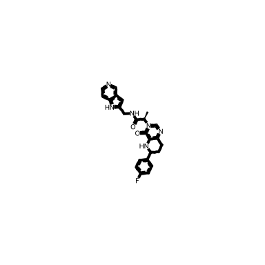 C[C@H](C(=O)NCc1cc2cnccc2[nH]1)n1cnc2c(c1=O)NC(c1ccc(F)cc1)CC2